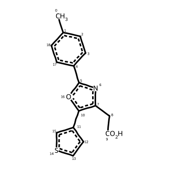 Cc1ccc(-c2nc(CC(=O)O)c(-c3ccsc3)o2)cc1